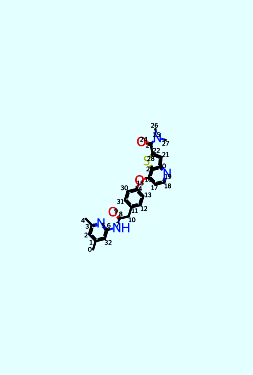 Cc1cc(C)nc(NC(=O)Cc2ccc(Oc3ccnc4cc(C(=O)N(C)C)sc34)cc2)c1